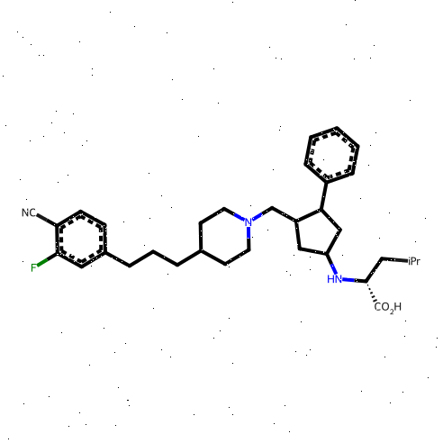 CC(C)C[C@@H](NC1CC(CN2CCC(CCCc3ccc(C#N)c(F)c3)CC2)C(c2ccccc2)C1)C(=O)O